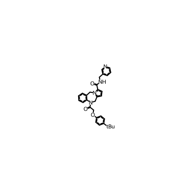 CC(C)(C)c1ccc(OCC(=O)N2Cc3ccc(C(=O)NCc4cccnc4)n3Cc3ccccc32)cc1